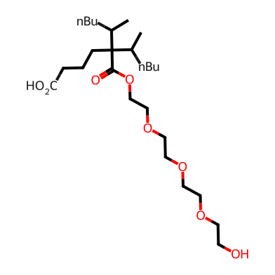 CCCCC(C)C(CCCC(=O)O)(C(=O)OCCOCCOCCOCCO)C(C)CCCC